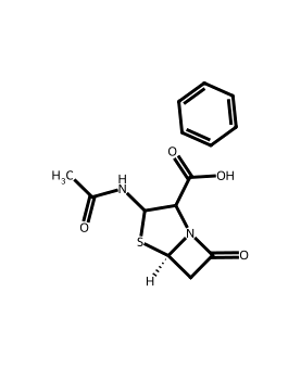 CC(=O)NC1S[C@@H]2CC(=O)N2C1C(=O)O.c1ccccc1